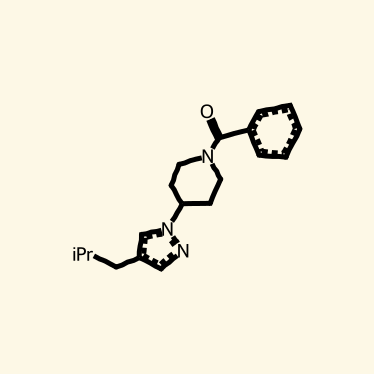 CC(C)Cc1cnn(C2CCN(C(=O)c3ccccc3)CC2)c1